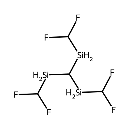 FC(F)[SiH2]C([SiH2]C(F)F)[SiH2]C(F)F